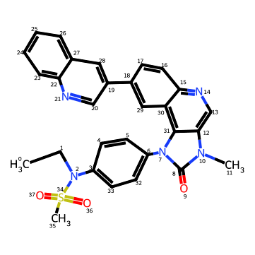 CCN(c1ccc(-n2c(=O)n(C)c3cnc4ccc(-c5cnc6ccccc6c5)cc4c32)cc1)S(C)(=O)=O